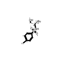 CC[C@H](C)[C@@H](CO)NS(=O)(=O)c1ccc(I)cc1